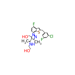 C=C(NCCO)c1c(C)nn(-c2ccc(F)c3cc(Cc4cc(F)cc(Cl)c4)sc23)c1CO